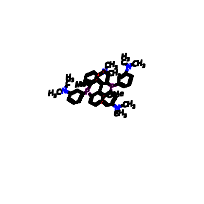 COc1cccc(P(c2cccc(N(C)C)c2)c2cccc(N(C)C)c2)c1-c1c(OC)cccc1P(c1cccc(N(C)C)c1)c1cccc(N(C)C)c1